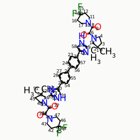 CC1(C)CCN(C(=O)C(=O)N2CCC(F)(F)CC2)[C@H]1c1nc(-c2ccc(-c3ccc(-c4c[nH]c([C@@H]5N(C(=O)C(=O)N6CCC(F)(F)CC6)CCC5(C)C)n4)cc3)cc2)c[nH]1